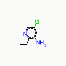 CCc1ncc(Cl)cc1N